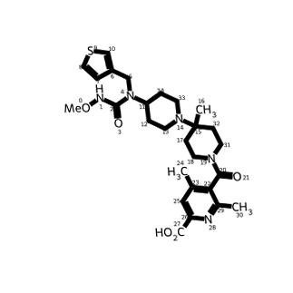 CONC(=O)N(Cc1ccsc1)C1CCN(C2(C)CCN(C(=O)c3c(C)cc(C(=O)O)nc3C)CC2)CC1